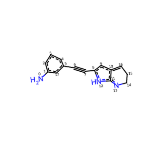 Nc1cccc(C#Cc2cc3c([nH]2)=NCCC=3)c1